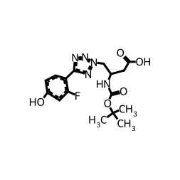 CC(C)(C)OC(=O)NC(CC(=O)O)Cn1nnc(-c2ccc(O)cc2F)n1